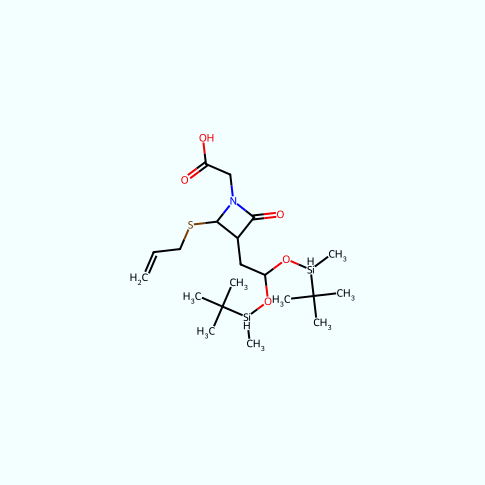 C=CCSC1C(CC(O[SiH](C)C(C)(C)C)O[SiH](C)C(C)(C)C)C(=O)N1CC(=O)O